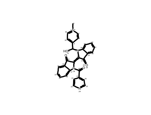 C[n+]1ccc(C(O)N2/C(=C3\C(=O)c4ccccc4N3C(=O)c3ccncc3)C(=O)c3ccccc32)cc1